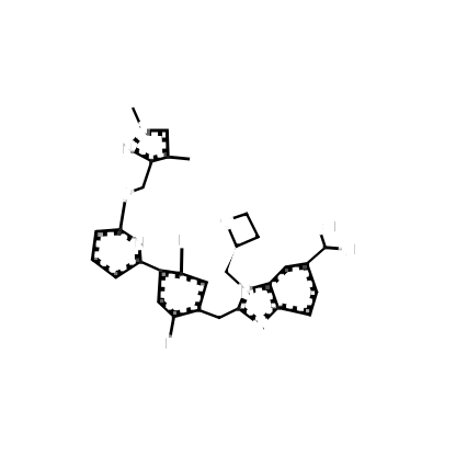 Cc1cn(C)nc1COc1cccc(-c2cc(F)c(Cc3nc4ccc(C(O)O)cc4n3C[C@@H]3CCO3)cc2F)n1